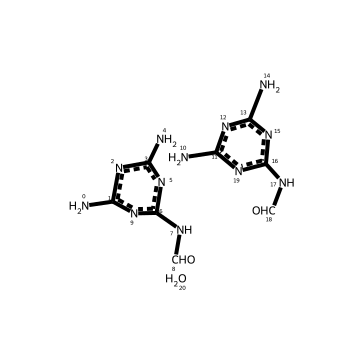 Nc1nc(N)nc(NC=O)n1.Nc1nc(N)nc(NC=O)n1.O